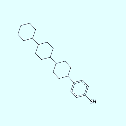 Sc1ccc(C2CCC(C3CCC(C4CCCCC4)CC3)CC2)cc1